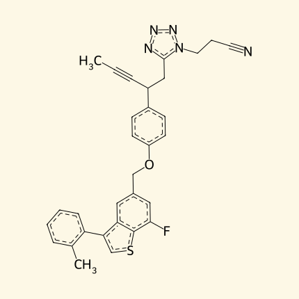 CC#CC(Cc1nnnn1CCC#N)c1ccc(OCc2cc(F)c3scc(-c4ccccc4C)c3c2)cc1